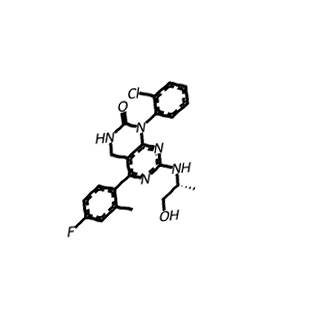 Cc1cc(F)ccc1-c1nc(N[C@H](C)CO)nc2c1CNC(=O)N2c1ccccc1Cl